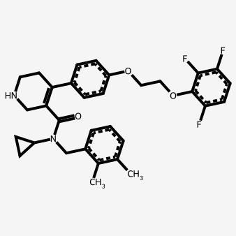 Cc1cccc(CN(C(=O)C2=C(c3ccc(OCCOc4c(F)ccc(F)c4F)cc3)CCNC2)C2CC2)c1C